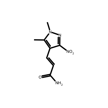 Cc1c(C=CC(N)=O)c([N+](=O)[O-])nn1C